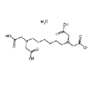 O.O=C(O)CN(CCCCCCN(CC(=O)O)CC(=O)O)CC(=O)O